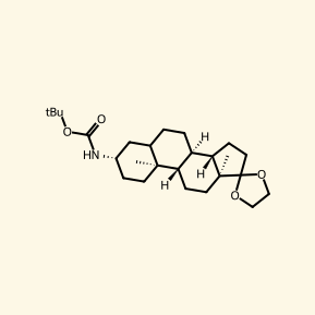 CC(C)(C)OC(=O)N[C@H]1CC[C@@]2(C)C(CC[C@@H]3[C@@H]2CC[C@@]2(C)[C@H]3CCC23OCCO3)C1